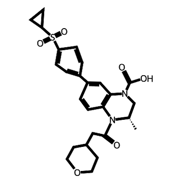 C[C@H]1CN(C(=O)O)c2cc(-c3ccc(S(=O)(=O)C4CC4)cc3)ccc2N1C(=O)CC1CCOCC1